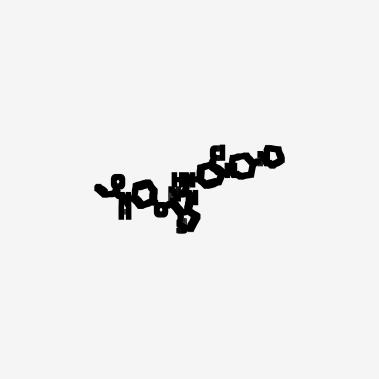 C=CC(=O)Nc1cccc(Oc2nc(Nc3ccc(N4CCC(N5CCCC5)CC4)c(Cl)c3)nc3ccsc23)c1